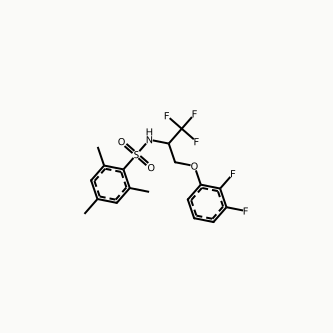 Cc1cc(C)c(S(=O)(=O)NC(COc2cccc(F)c2F)C(F)(F)F)c(C)c1